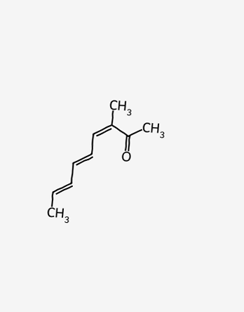 CC=CC=CC=C(C)C(C)=O